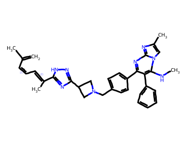 C=C(C)/C=C\C=C(/C)c1nc(C2CN(Cc3ccc(-c4nc5nc(C)cn5c(NC)c4-c4ccccc4)cc3)C2)n[nH]1